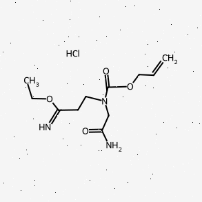 C=CCOC(=O)N(CCC(=N)OCC)CC(N)=O.Cl